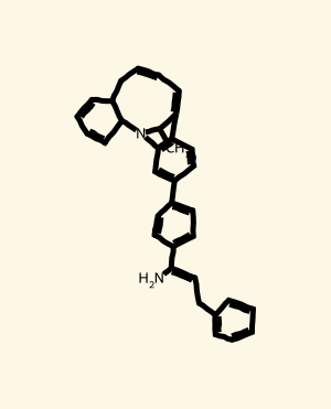 CC1/C2=C\C=C/CC3C=CC=CC3N1c1cc(-c3ccc(/C(N)=C/Cc4ccccc4)cc3)ccc12